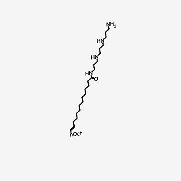 CCCCCCCCC=CCCCCCCCCCCCC(=O)NCCCNCCCNCCCN